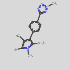 CCOC(=O)c1c(-c2ccc(-c3nnn(C)n3)cc2)c(C#N)c(CC)n1C